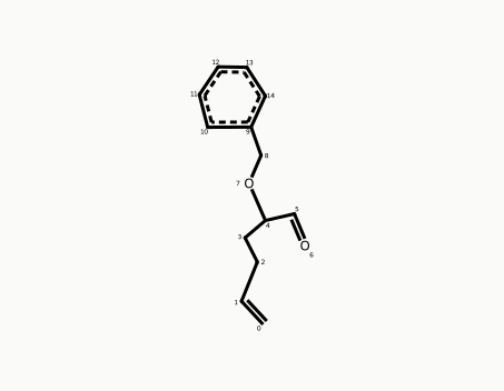 C=CCCC(C=O)OCc1ccccc1